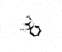 CC(C)(C)OC(=O)C1(C(=O)O)C=CC=CC=N1